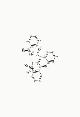 CCCS(=O)(=O)Oc1c(-c2ccccc2)nc2ccccc2c1C(=O)N[C@@H](CC)c1ccccc1